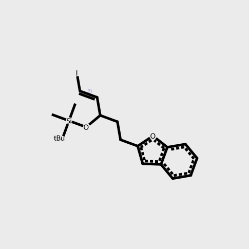 CC(C)(C)[Si](C)(C)OC(/C=C/I)CCc1cc2ccccc2o1